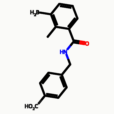 Bc1cccc(C(=O)NCc2ccc(C(=O)O)cc2)c1C